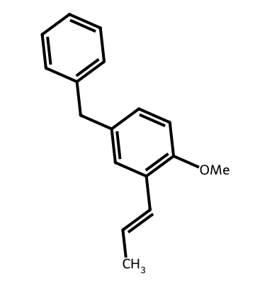 CC=Cc1cc(Cc2ccccc2)ccc1OC